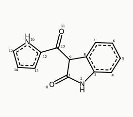 O=C1Nc2ccccc2C1C(=O)c1ccc[nH]1